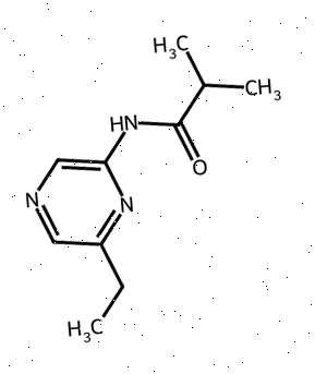 CCc1cncc(NC(=O)C(C)C)n1